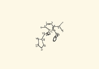 Cc1ccc(C(C)C)c(N=O)c1OCC1CCCC1